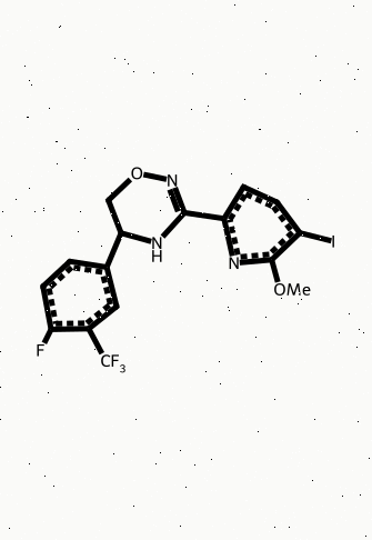 COc1nc(C2=NOCC(c3ccc(F)c(C(F)(F)F)c3)N2)ccc1I